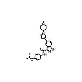 CC(F)Oc1ccc(NC(=O)c2n[nH]c3ccc(-c4cnn(C5CCN(C)CC5)c4)cc23)cc1